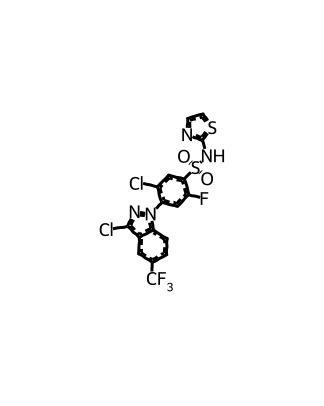 O=S(=O)(Nc1nccs1)c1cc(Cl)c(-n2nc(Cl)c3cc(C(F)(F)F)ccc32)cc1F